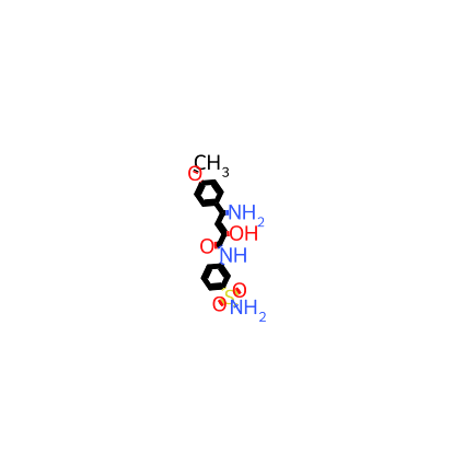 COc1ccc(C(N)/C=C(\O)C(=O)Nc2cccc(S(N)(=O)=O)c2)cc1